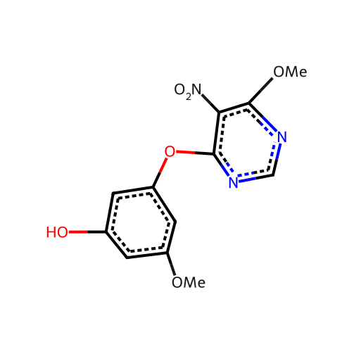 COc1cc(O)cc(Oc2ncnc(OC)c2[N+](=O)[O-])c1